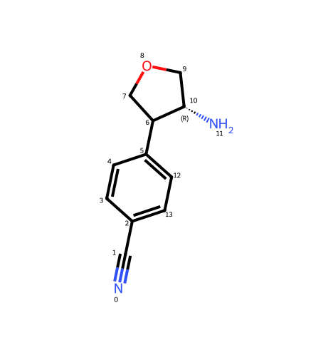 N#Cc1ccc(C2COC[C@@H]2N)cc1